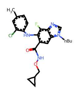 CCCCn1cnc2c(F)c(Nc3ccc(C)cc3Cl)c(C(=O)NOCC3CC3)cc21